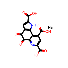 O=C(O)c1cc(C(=O)O)c2c(n1)C(=O)C(=O)c1cc(C(=O)O)[nH]c1-2.[Na]